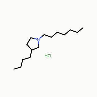 CCCCCCCN1CCC(CCCC)C1.Cl